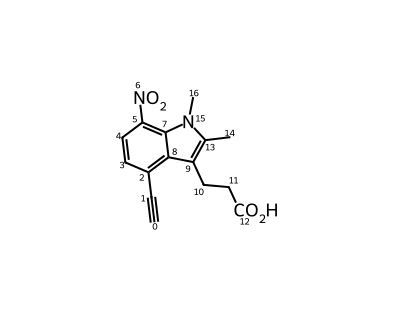 C#Cc1ccc([N+](=O)[O-])c2c1c(CCC(=O)O)c(C)n2C